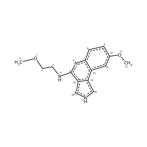 COCCNc1nc2ccc(OC)cc2c2c[nH]nc12